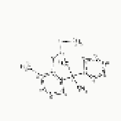 CCCCc1c(C(C)(C)c2ccccc2)[c]ccc1C